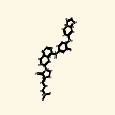 Cc1cc(Nc2ncnc3cnc(N4CC/C(=C\CCN(C)C)C4=O)cc23)ccc1Oc1ccn2ncnc2c1